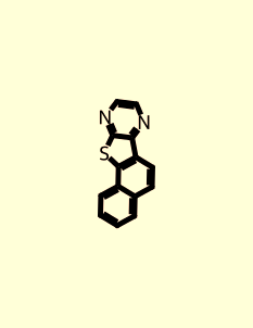 c1ccc2c(c1)ccc1c3nccnc3sc21